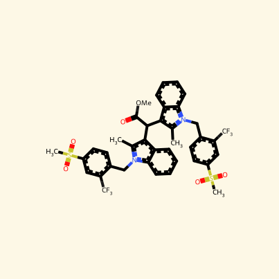 COC(=O)C(c1c(C)n(Cc2ccc(S(C)(=O)=O)cc2C(F)(F)F)c2ccccc12)c1c(C)n(Cc2ccc(S(C)(=O)=O)cc2C(F)(F)F)c2ccccc12